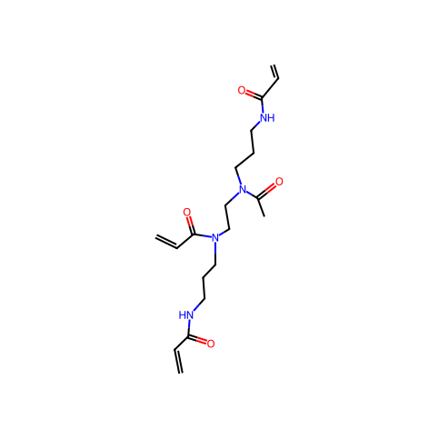 C=CC(=O)NCCCN(CCN(CCCNC(=O)C=C)C(=O)C=C)C(C)=O